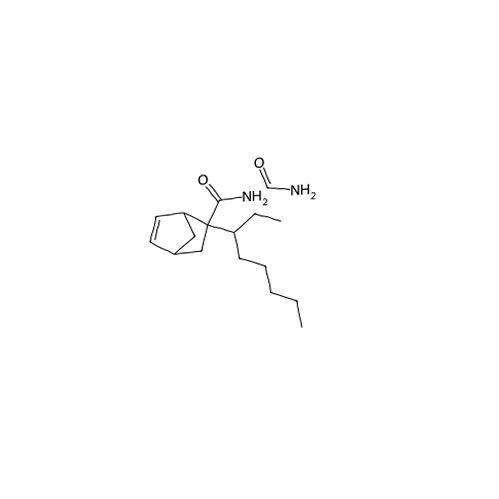 CCCCCC(CC)C1(C(N)=O)CC2C=CC1C2.NC=O